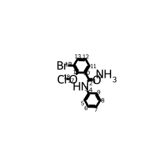 N.O=C(Nc1ccccc1)c1cccc(Br)c1OCl